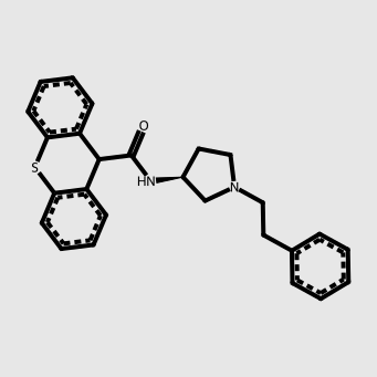 O=C(N[C@H]1CCN(CCc2ccccc2)C1)C1c2ccccc2Sc2ccccc21